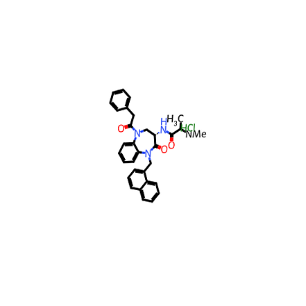 CNC(C)C(=O)N[C@H]1CN(C(=O)Cc2ccccc2)c2ccccc2N(Cc2cccc3ccccc23)C1=O.Cl